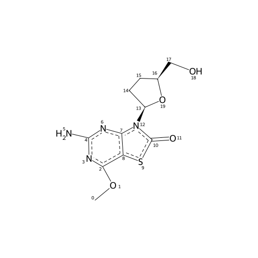 COc1nc(N)nc2c1sc(=O)n2[C@H]1CC[C@@H](CO)O1